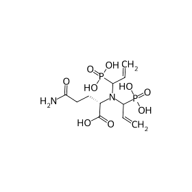 C=CC(N(C(C=C)P(=O)(O)O)[C@@H](CCC(N)=O)C(=O)O)P(=O)(O)O